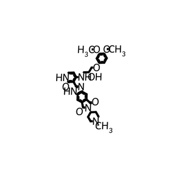 COc1ccc(OCC(O)CNc2cc[nH]c(=O)c2-c2nc3cc4c(cc3[nH]2)C(=O)N(C2CCN(C)CC2)C4=O)cc1OC